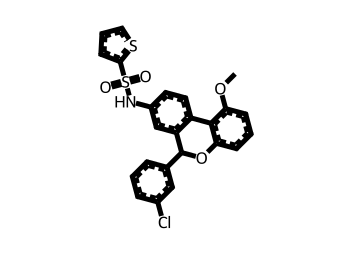 COc1cccc2c1-c1ccc(NS(=O)(=O)c3cccs3)cc1C(c1cccc(Cl)c1)O2